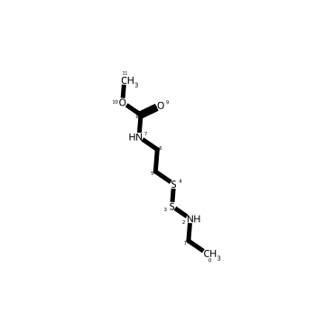 CCNSSCCNC(=O)OC